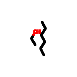 CCCCCC.CCO